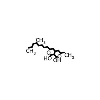 CCCCC(C)CCCCCCC(CCCC)C(C(=O)O)C(=O)O